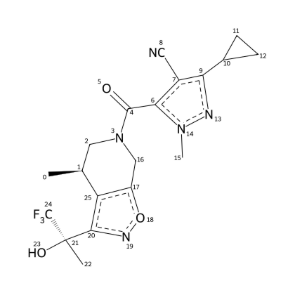 C[C@H]1CN(C(=O)c2c(C#N)c(C3CC3)nn2C)Cc2onc([C@@](C)(O)C(F)(F)F)c21